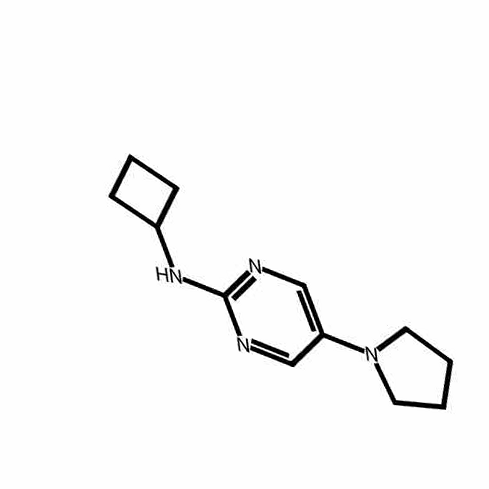 c1nc(NC2CCC2)ncc1N1CCCC1